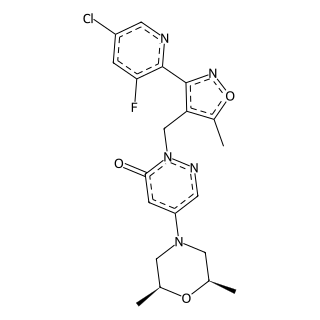 Cc1onc(-c2ncc(Cl)cc2F)c1Cn1ncc(N2C[C@@H](C)O[C@@H](C)C2)cc1=O